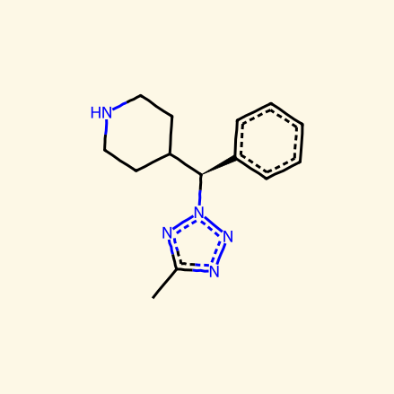 Cc1nnn([C@H](c2ccccc2)C2CCNCC2)n1